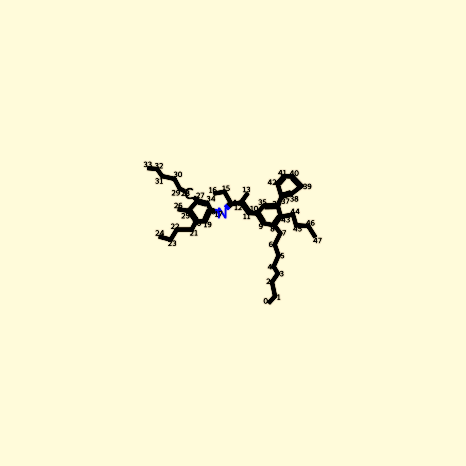 CCCCCCCCc1cc(C=C(C)C(CC)=Nc2cc(CCCC)c(C)c(CCCCCC)c2)cc(-c2ccccc2)c1CCCC